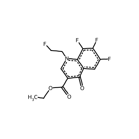 CCOC(=O)c1cn(CCF)c2c(F)c(F)c(F)cc2c1=O